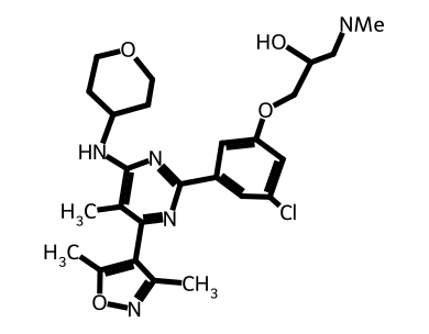 CNCC(O)COc1cc(Cl)cc(-c2nc(NC3CCOCC3)c(C)c(-c3c(C)noc3C)n2)c1